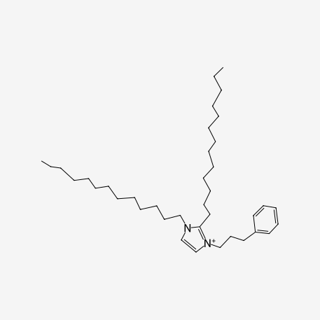 CCCCCCCCCCCCCc1n(CCCCCCCCCCCCC)cc[n+]1CCCc1ccccc1